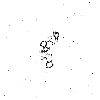 O=C(Nc1nc2c(C(=O)Nc3ncc[nH]3)cccc2[nH]1)c1ccccn1